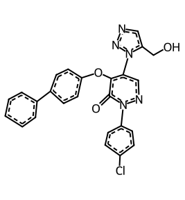 O=c1c(Oc2ccc(-c3ccccc3)cc2)c(-n2nncc2CO)cnn1-c1ccc(Cl)cc1